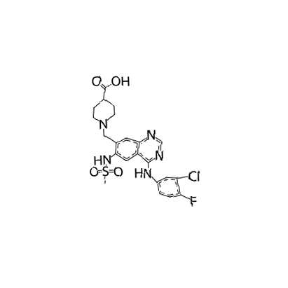 CS(=O)(=O)Nc1cc2c(Nc3ccc(F)c(Cl)c3)ncnc2cc1CN1CCC(C(=O)O)CC1